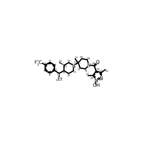 CC[C@@H](c1ccc(C(F)(F)F)cc1)C1CCN(C2(C)CCN(C(=O)c3c(C)nn(O)c3C)CC2)C[C@@H]1C